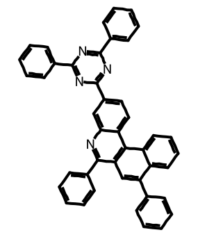 c1ccc(-c2nc(-c3ccccc3)nc(-c3ccc4c(c3)nc(-c3ccccc3)c3cc(-c5ccccc5)c5ccccc5c34)n2)cc1